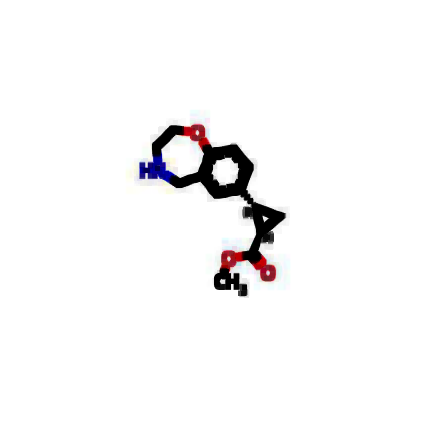 COC(=O)[C@@H]1C[C@H]1c1ccc2c(c1)CNCCO2